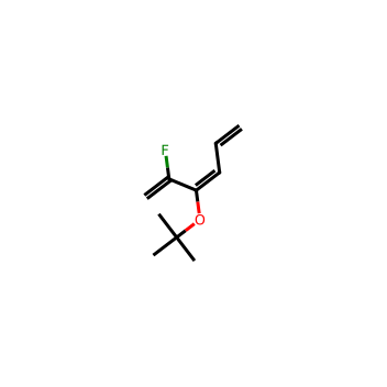 C=C/C=C(/OC(C)(C)C)C(=C)F